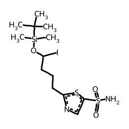 CC(C)(C)[Si](C)(C)OC(I)CCCc1ncc(S(N)(=O)=O)s1